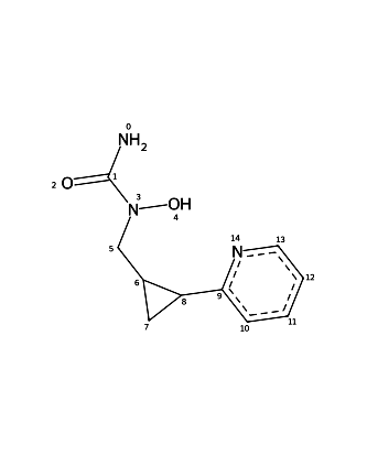 NC(=O)N(O)CC1CC1c1ccccn1